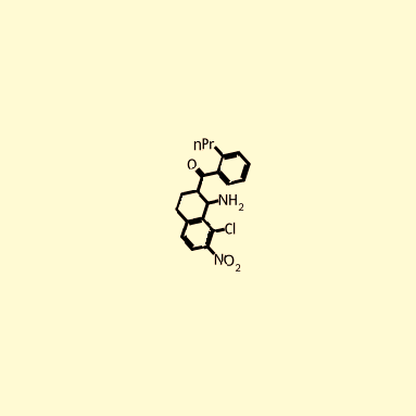 CCCc1ccccc1C(=O)C1CCc2ccc([N+](=O)[O-])c(Cl)c2C1N